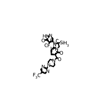 CC([SiH3])(Cn1cccc(C(=O)N2CCN(c3ncc(C(F)(F)F)cn3)CC2)c1=O)Nc1cn[nH]c(=O)c1C(F)(F)F